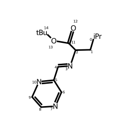 CC(C)CC(N=Cc1cnccn1)C(=O)OC(C)(C)C